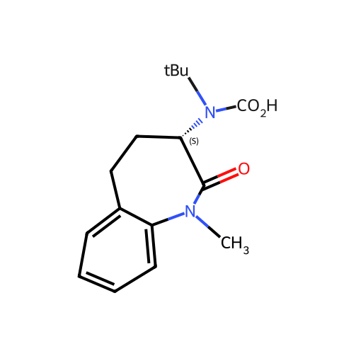 CN1C(=O)[C@@H](N(C(=O)O)C(C)(C)C)CCc2ccccc21